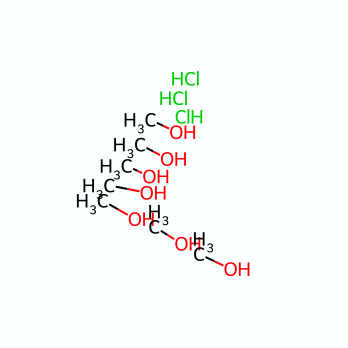 CO.CO.CO.CO.CO.CO.CO.Cl.Cl.Cl